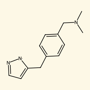 CN(C)Cc1ccc(CC2=CC=N[N]2)cc1